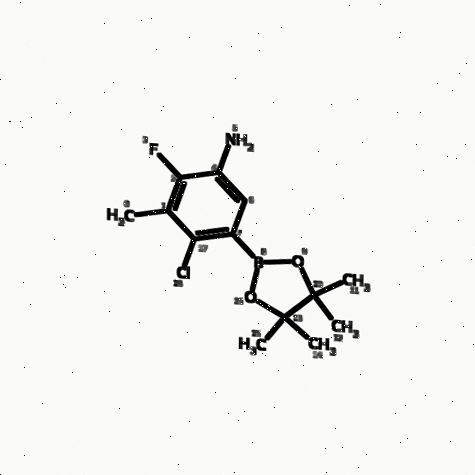 Cc1c(F)c(N)cc(B2OC(C)(C)C(C)(C)O2)c1Cl